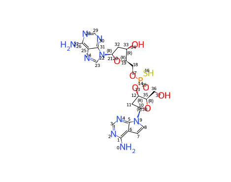 Nc1ncnc2c1ccn2[C@H]1C[C@@H](OP(=O)(S)OC[C@H]2O[C@@H](n3cnc4c(N)ncnc43)C[C@H]2O)[C@@H](CO)O1